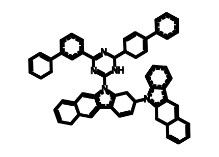 C1=CCCC(c2cccc(C3=NC(C4C=CC(c5ccccc5)=CC4)NC(n4c5c(c6c4=CC4=CC=CCC4C=6)C=CC(n4c6c(c7ccccc74)C=C4C=CC=CC4C6)C5)=N3)c2)=C1